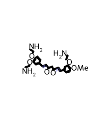 COc1ccc(/C=C/C(=O)CC(=O)/C=C/c2ccc(OCCN)c(OCCN)c2)cc1OCCN